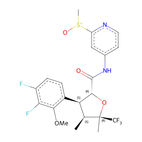 COc1c([C@H]2[C@H](C(=O)Nc3ccnc([S+](C)[O-])c3)O[C@@](C)(C(F)(F)F)[C@H]2C)ccc(F)c1F